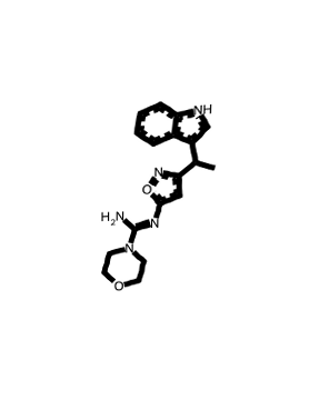 CC(c1cc(/N=C(\N)N2CCOCC2)on1)c1c[nH]c2ccccc12